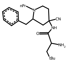 CCCN1CCC(C#N)(NC(=O)C(N)CC(C)(C)C)CC1Cc1ccccc1